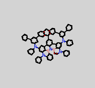 c1ccc(-c2cc(-c3ccccc3)cc(N(c3ccccc3)c3cc4c5c(c3)N(c3ccccc3)c3ccccc3B5N3B5c6ccccc6N(c6ccccc6)c6cc(N(c7ccccc7)c7cc(-c8ccccc8)cc(-c8ccccc8)c7)cc(c65)-c5cc(-c6ccccc6)cc-4c53)c2)cc1